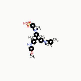 CCOc1ccc(Nc2ccc(C(c3ccc(N(CC)Cc4cccc(C)c4)cc3C)c3ccc(N(CC)Cc4cccc(S(=O)(=O)O)c4)cc3C)cc2)cc1